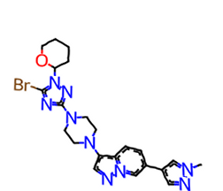 Cn1cc(-c2ccc3c(N4CCN(c5nc(Br)n(C6CCCCO6)n5)CC4)cnn3c2)cn1